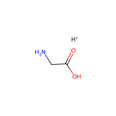 NCC(=O)O.[H+]